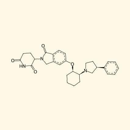 O=C1CCC(N2Cc3cc(O[C@@H]4CCCC[C@@H]4N4CC[C@@H](c5ccccc5)C4)ccc3C2=O)C(=O)N1